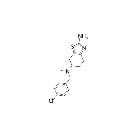 CN(Cc1ccc(Cl)cc1)C1CCc2nc(N)sc2C1